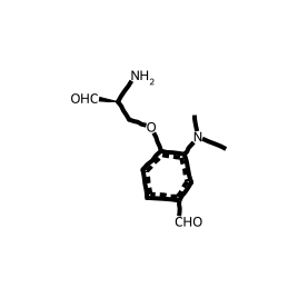 CN(C)c1cc(C=O)ccc1OC[C@H](N)C=O